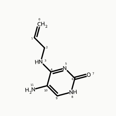 C=CCNc1nc(=O)[nH]cc1N